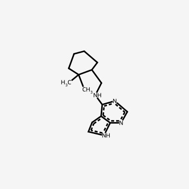 CC1(C)CCCCC1CNc1ncnc2[nH]ccc12